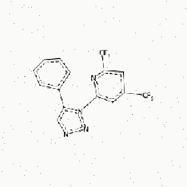 FC(F)(F)c1cc(-n2nncc2-c2ccccc2)nc(C(F)(F)F)c1